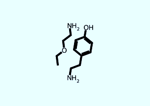 CCOCCN.NCCc1ccc(O)cc1